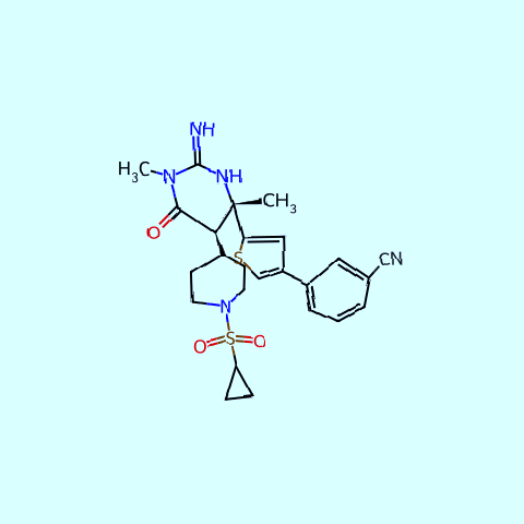 CN1C(=N)N[C@](C)(c2cc(-c3cccc(C#N)c3)cs2)[C@@H](C2CCN(S(=O)(=O)C3CC3)CC2)C1=O